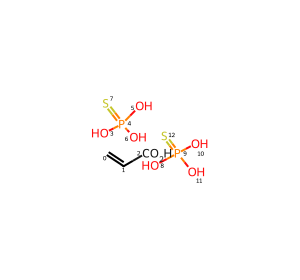 C=CC(=O)O.OP(O)(O)=S.OP(O)(O)=S